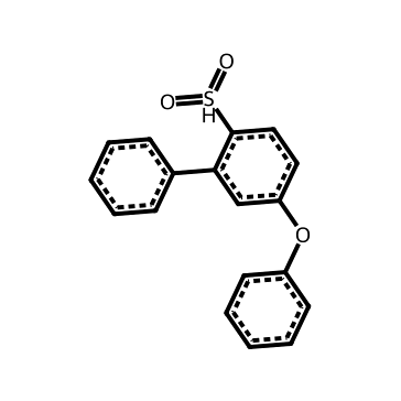 O=[SH](=O)c1ccc(Oc2ccccc2)cc1-c1ccccc1